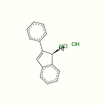 Cl.Cl.[Hf][C@@H]1C(c2ccccc2)=Cc2ccccc21